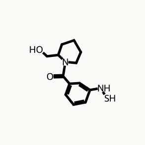 O=C(c1cccc(NS)c1)N1CCCCC1CO